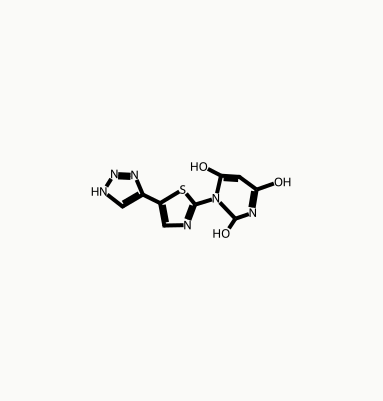 OC1=CC(O)=NC(O)N1c1ncc(-c2c[nH]nn2)s1